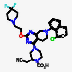 N#CC[C@H]1CN(c2nc(OCCN3CCC(F)(F)CC3)nc3c2CCN(c2cccc4cccc(Cl)c24)C3)CCN1C(=O)O